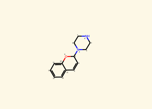 C1=CC(N2CCNCC2)Oc2ccccc21